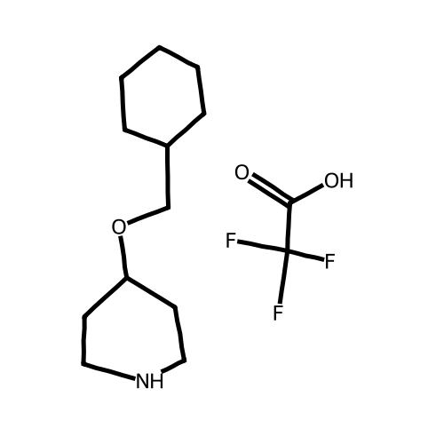 C1CCC(COC2CCNCC2)CC1.O=C(O)C(F)(F)F